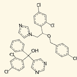 Clc1ccc(COC(Cn2ccnc2)c2ccc(Cl)cc2Cl)cc1.OC(c1ccccc1)(c1cncnc1)c1ccc(Cl)cc1Cl